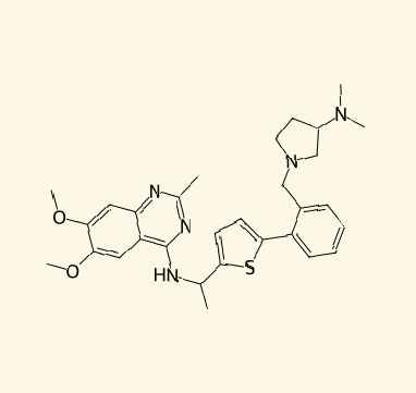 COc1cc2nc(C)nc(NC(C)c3ccc(-c4ccccc4CN4CCC(N(C)C)C4)s3)c2cc1OC